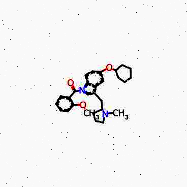 COc1ccccc1C(=O)n1cc(CC2CCCN2C)c2cc(OC3CCCCC3)ccc21